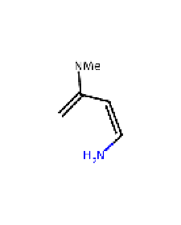 C=C(/C=C\N)NC